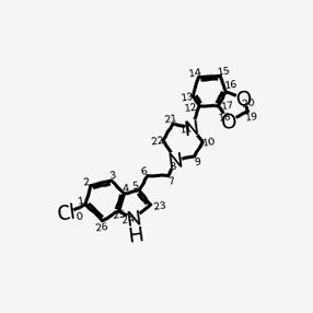 Clc1ccc2c(CCN3CCN(c4cccc5c4OCO5)CC3)c[nH]c2c1